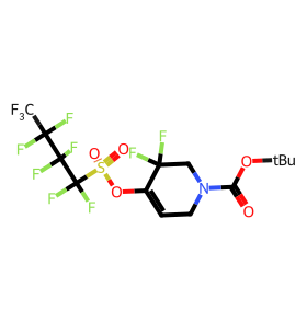 CC(C)(C)OC(=O)N1CC=C(OS(=O)(=O)C(F)(F)C(F)(F)C(F)(F)C(F)(F)F)C(F)(F)C1